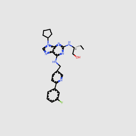 CC[C@H](CO)Nc1nc(NCc2ccc(-c3cccc(F)c3)nc2)c2ncn(C3CCCC3)c2n1